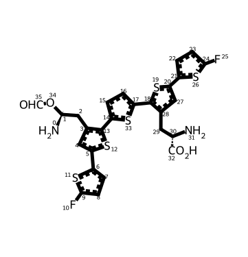 N[C@H](Cc1cc(-c2ccc(F)s2)sc1-c1ccc(-c2sc(-c3ccc(F)s3)cc2C[C@H](N)C(=O)O)s1)OC=O